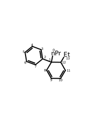 CCCC1(c2ccccc2)C=CC=CC1CC